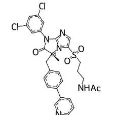 CC(=O)NCCCS(=O)(=O)c1cnc2n1[C@](C)(Cc1ccc(-c3cccnc3)cc1)C(=O)N2c1cc(Cl)cc(Cl)c1